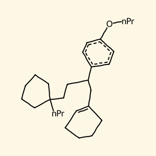 CCCOc1ccc(C(CCC2(CCC)CCCCC2)CC2=CCCCC2)cc1